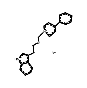 [Br-].c1ccc(-c2cc[n+](CSCCc3c[nH]c4ccccc34)cc2)cc1